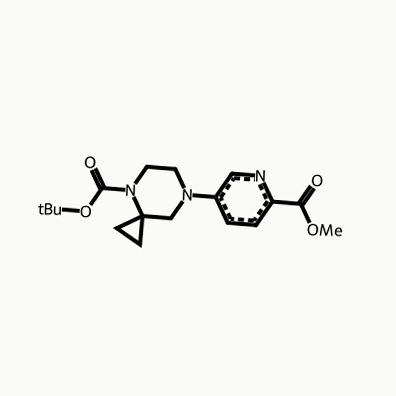 COC(=O)c1ccc(N2CCN(C(=O)OC(C)(C)C)C3(CC3)C2)cn1